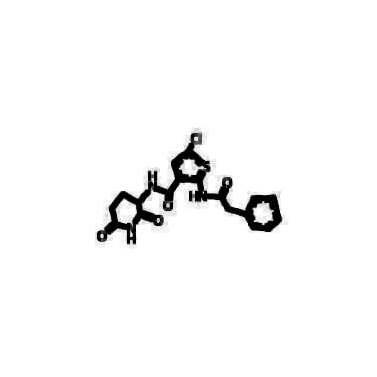 O=C1CCC(NC(=O)c2cc(Cl)sc2NC(=O)Cc2ccccc2)C(=O)N1